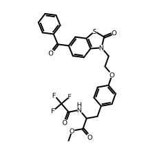 COC(=O)C(Cc1ccc(OCCn2c(=O)sc3cc(C(=O)c4ccccc4)ccc32)cc1)NC(=O)C(F)(F)F